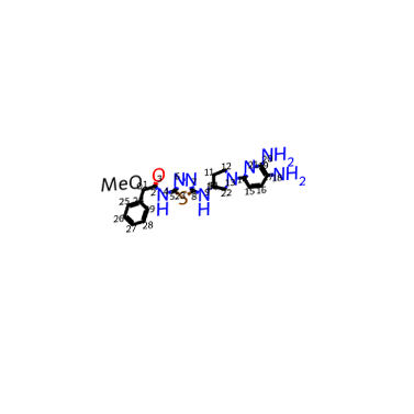 COC(C(=O)Nc1nnc(N[C@@H]2CCN(c3ccc(N)c(N)n3)C2)s1)c1ccccc1